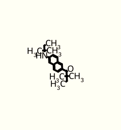 CCC(C)(C)Nc1ccc2cc(C(=O)C(C)(C)CC)ccc2c1